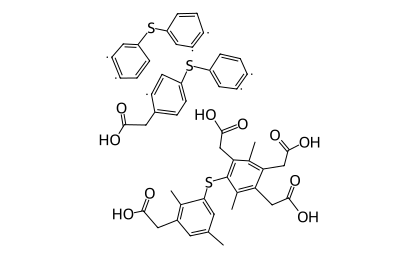 Cc1cc(CC(=O)O)c(C)c(Sc2c(C)c(CC(=O)O)c(CC(=O)O)c(C)c2CC(=O)O)c1.O=C(O)Cc1[c]cc(Sc2c[c][c]cc2)cc1.[c]1[c]cc(Sc2c[c][c]cc2)cc1